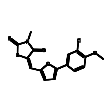 COc1ccc(-c2ccc(C=C3SC(=S)N(C)C3=O)o2)cc1Cl